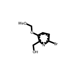 COCOc1ccc(Br)nc1CO